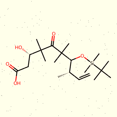 C=C[C@H](C)C(O[Si](C)(C)C(C)(C)C)C(C)(C)C(=O)C(C)(C)[C@@H](O)CC(=O)O